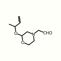 C=CC(C)OC1CN(CC=O)CCO1